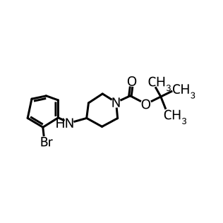 CC(C)(C)OC(=O)N1CCC(Nc2ccccc2Br)CC1